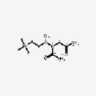 C[N+](C)(C)CCON(CC(N)=O)C(N)=O.[Cl-]